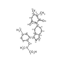 Cc1ccc(OC(C)C(=O)O)c(-c2noc3ccc(-n4c(=O)cc(C(F)(F)F)n(C)c4=O)cc23)c1